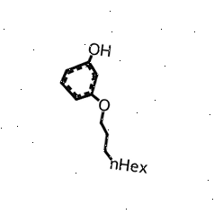 CCCCCCCCCOc1cccc(O)c1